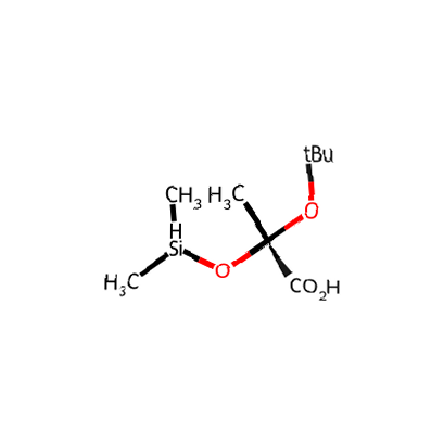 C[SiH](C)O[C@](C)(OC(C)(C)C)C(=O)O